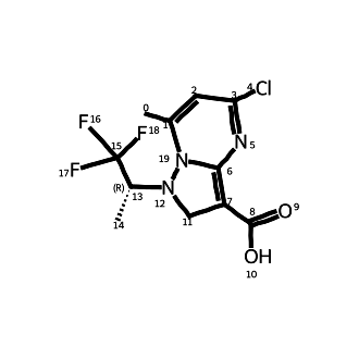 CC1=CC(Cl)=NC2=C(C(=O)O)CN([C@H](C)C(F)(F)F)N12